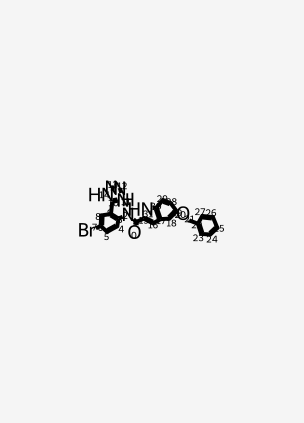 O=C(Nc1ccc(Br)cc1-c1nnn[nH]1)c1cc2cc(OCc3ccccc3)ccc2[nH]1